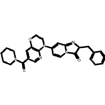 O=C(c1cnc2c(c1)OCCN2C1=CC2=NC(CC3=CCC=C=C3)C(=O)N2C=C1)N1CCCCC1